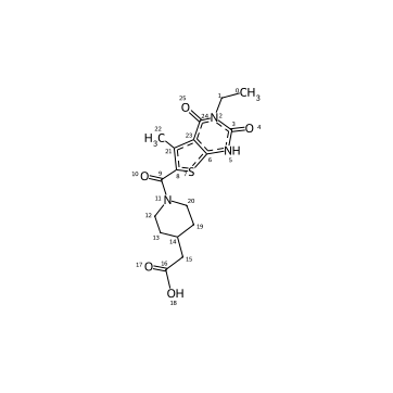 CCn1c(=O)[nH]c2sc(C(=O)N3CCC(CC(=O)O)CC3)c(C)c2c1=O